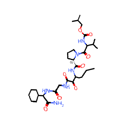 CCCC(NC(=O)[C@@H]1CCCN1C(=O)C(NC(=O)OCC(C)C)C(C)C)C(=O)C(=O)NCC(=O)NC(C(N)=O)C1CCCCC1